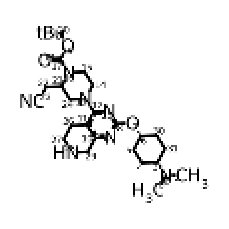 CN(C)[C@H]1CC[C@H](Oc2nc3c(c(N4CCN(C(=O)OC(C)(C)C)C(CC#N)C4)n2)CCNC3)CC1